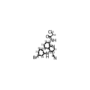 N#Cc1cnc2c(NC(=O)CCl)cccc2c1Nc1cccc(Br)c1